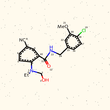 CCN(CO)c1ccc(C#N)cc1C(=O)NCc1ccc(Cl)c(OC)c1